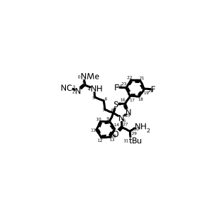 CNC(=NC#N)NCCCC1(c2ccccc2)SC(c2cc(F)ccc2F)=NN1C(=O)C(N)C(C)(C)C